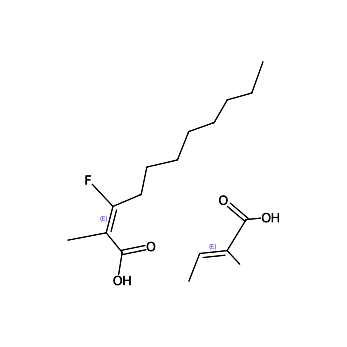 C/C=C(\C)C(=O)O.CCCCCCCC/C(F)=C(/C)C(=O)O